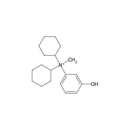 C[N+](c1cccc(O)c1)(C1CCCCC1)C1CCCCC1